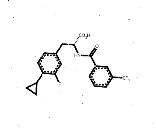 O=C(N[C@H](Cc1ccc(C2CC2)c(F)c1)C(=O)O)c1cccc(C(F)(F)F)c1